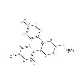 CNCC1CCC(c2ccc(Cl)cc2Cl)N(c2ccc(Cl)cc2)C1